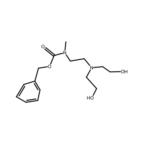 CN(CCN(CCO)CCO)C(=O)OCc1ccccc1